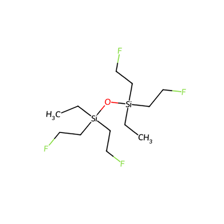 CC[Si](CCF)(CCF)O[Si](CC)(CCF)CCF